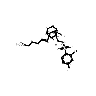 Cc1cc(Cl)ccc1S(=O)(=O)NC[C@H]1C2CCC(CC2)[C@@H]1C=CCCCC(=O)O